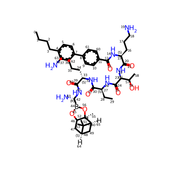 CCCCc1ccc(-c2ccc(C(=O)N[C@@H](CCCN)C(=O)N[C@H](C(=O)N[C@@H](CC)C(=O)N[C@@H](CCCCN)C(=O)N[C@@H](N)B3OC4C[C@@H]5C[C@@H](C5(C)C)[C@]4(C)O3)C(C)O)cc2)cc1